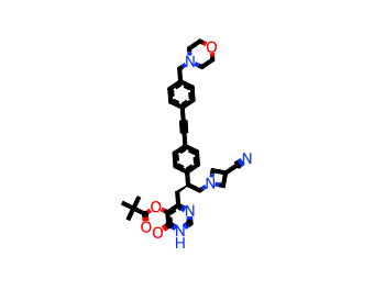 CC(C)(C)C(=O)Oc1c(C[C@H](CN2CC(C#N)C2)c2ccc(C#Cc3ccc(CN4CCOCC4)cc3)cc2)nc[nH]c1=O